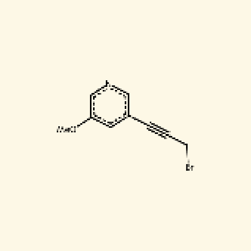 COc1cncc(C#CCBr)c1